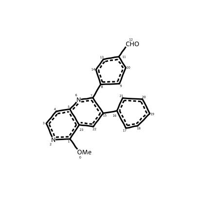 COc1nccc2nc(-c3ccc(C=O)cc3)c(-c3ccccc3)cc12